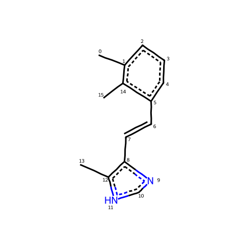 Cc1cccc(C=Cc2nc[nH]c2C)c1C